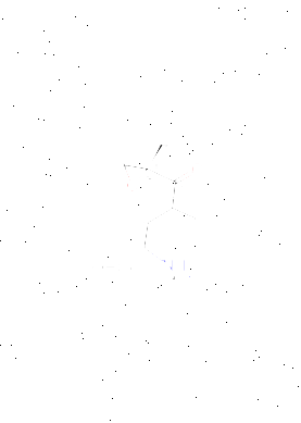 CC(C[C@H](N)C=O)C(=O)[C@@]1(C)CO1